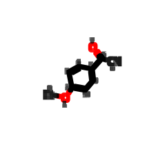 CCOc1ccc(C(=O)C#N)cc1